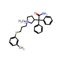 Cc1cccc(SCCC[N@+]2(C)CCC(C(C(N)=O)(c3ccccc3)c3ccccc3)C2)c1